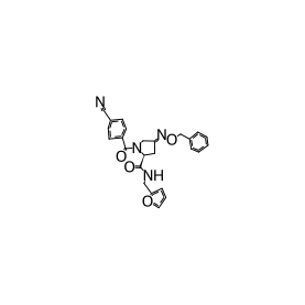 N#Cc1ccc(C(=O)N2C/C(=N/OCc3ccccc3)C[C@H]2C(=O)NCc2ccco2)cc1